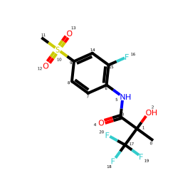 CC(O)(C(=O)Nc1ccc(S(C)(=O)=O)cc1F)C(F)(F)F